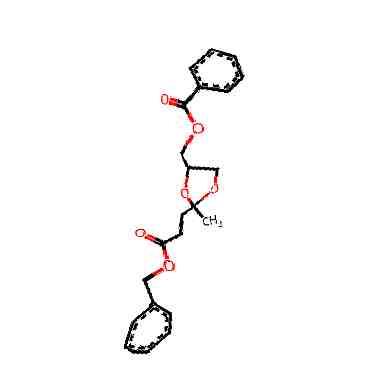 CC1(CCC(=O)OCc2ccccc2)OCC(COC(=O)c2ccccc2)O1